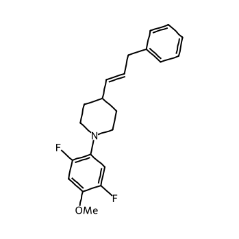 COc1cc(F)c(N2CCC(C=CCc3ccccc3)CC2)cc1F